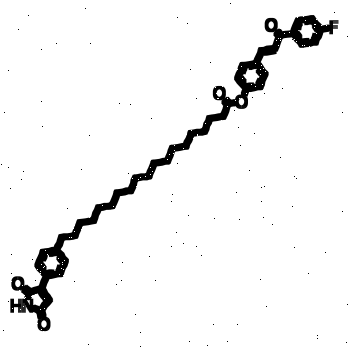 O=C1C=C(c2ccc(CCCCCCCCCCCCCCCCCCC(=O)Oc3ccc(C=CC(=O)c4ccc(F)cc4)cc3)cc2)C(=O)N1